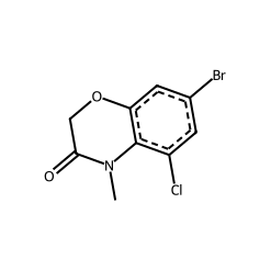 CN1C(=O)COc2cc(Br)cc(Cl)c21